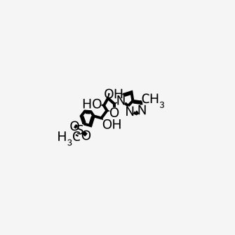 Cc1ncnc2c1ccn2[C@@H]1O[C@H]([C@H](O)c2cccc(S(C)(=O)=O)c2)[C@@H](O)[C@H]1O